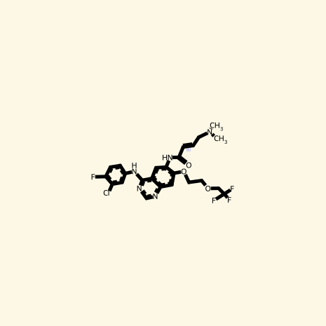 CN(C)C/C=C/C(=O)Nc1cc2c(Nc3ccc(F)c(Cl)c3)ncnc2cc1OCCOCC(F)(F)F